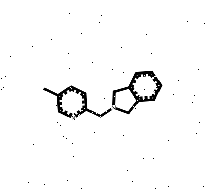 Cc1ccc(CN2Cc3ccccc3C2)nc1